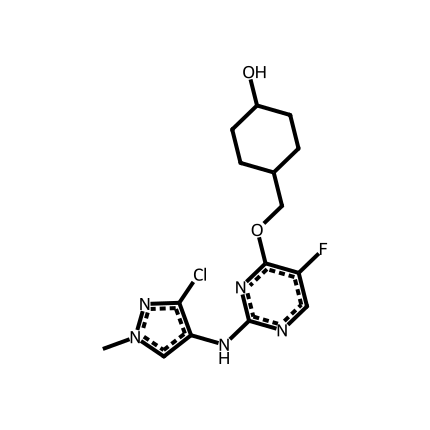 Cn1cc(Nc2ncc(F)c(OCC3CCC(O)CC3)n2)c(Cl)n1